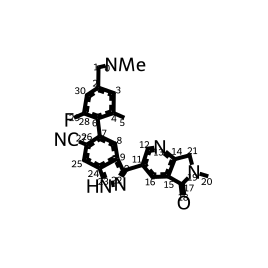 CNCc1cc(C)c(-c2cc3c(-c4cnc5c(c4)C(=O)N(C)C5)n[nH]c3cc2C#N)c(F)c1